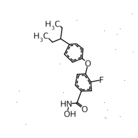 CCC(CC)c1ccc(Oc2ccc(C(=O)NO)cc2F)cc1